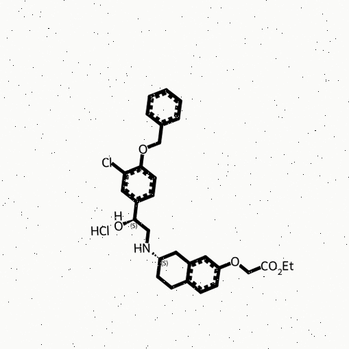 CCOC(=O)COc1ccc2c(c1)C[C@@H](NC[C@@H](O)c1ccc(OCc3ccccc3)c(Cl)c1)CC2.Cl